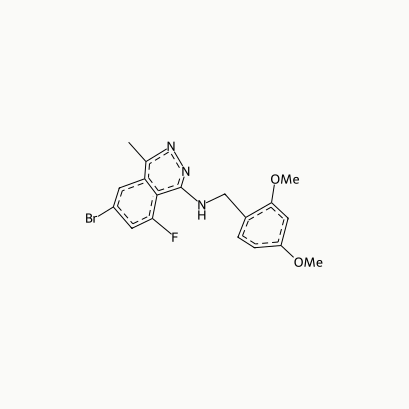 COc1ccc(CNc2nnc(C)c3cc(Br)cc(F)c23)c(OC)c1